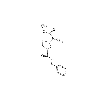 CN(C(=O)OC(C)(C)C)C1CCC(C(=O)OCc2ccccc2)C1